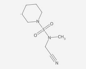 CN(CC#N)S(=O)(=O)N1C[CH]CCC1